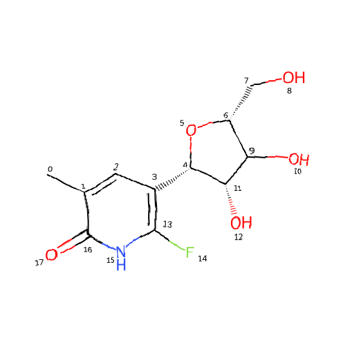 Cc1cc([C@@H]2O[C@H](CO)C(O)[C@@H]2O)c(F)[nH]c1=O